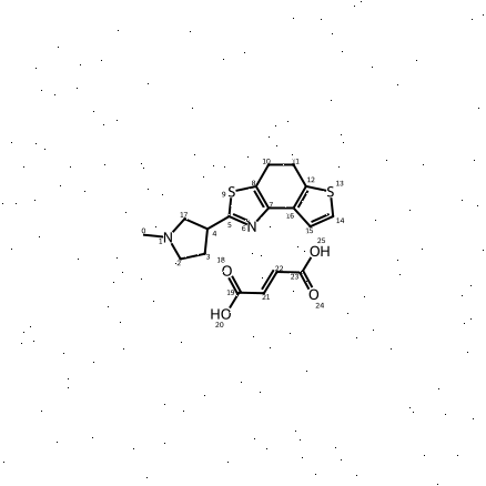 CN1CCC(c2nc3c(s2)CCc2sccc2-3)C1.O=C(O)C=CC(=O)O